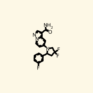 NC(=O)c1cnn2ccc(N3CC(F)(F)CC3c3cccc(F)c3)cc12